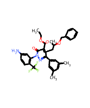 CCOC(=O)c1c(CC(C)OCc2ccccc2)c(-c2cc(C)cc(C)c2)nn(-c2cc(N)ccc2C(F)(F)F)c1=O